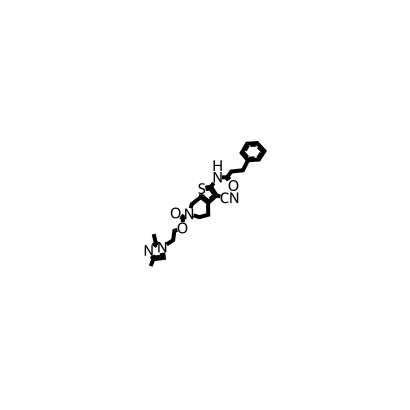 Cc1cn(CCOC(=O)N2CCc3c(sc(NC(=O)CCc4ccccc4)c3C#N)C2)c(C)n1